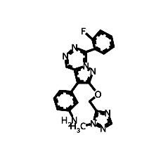 Cn1ncnc1COc1nn2c(-c3ccccc3F)nncc2c1-c1cccc(N)c1